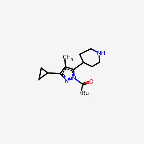 Cc1c(C2CC2)nn(C(=O)C(C)(C)C)c1C1CCNCC1